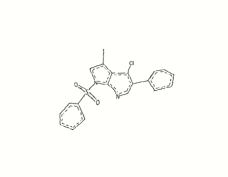 Cc1cn(S(=O)(=O)c2ccccc2)c2ncc(-c3ccccc3)c(Cl)c12